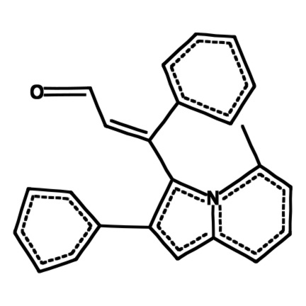 Cc1cccc2cc(-c3ccccc3)c(C(=CC=O)c3ccccc3)n12